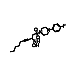 CCCCCC#CC(CS(=O)(=O)N1CCN(c2ccc(F)cc2)CC1)NO